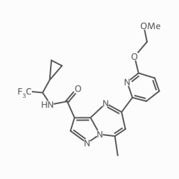 COCOc1cccc(-c2cc(C)n3ncc(C(=O)NC(C4CC4)C(F)(F)F)c3n2)n1